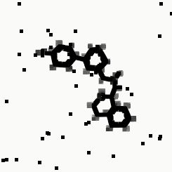 CN(Cc1cncc(-c2ccc(F)cc2)c1)CC1OCCc2ccccc21